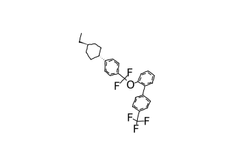 CC[C@H]1CC[C@H](c2ccc(C(F)(F)Oc3ccccc3-c3ccc(C(F)(F)F)cc3)cc2)CC1